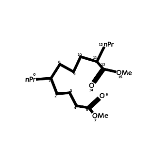 CCCC(CCCC(=O)OC)CCCC(CCC)C(=O)OC